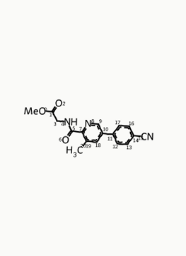 COC(=O)CNC(=O)c1ncc(-c2ccc(C#N)cc2)cc1C